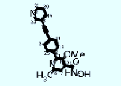 COc1c(C(=O)NO)cc(C)nc1-c1ccc(C#Cc2cccnc2)cc1